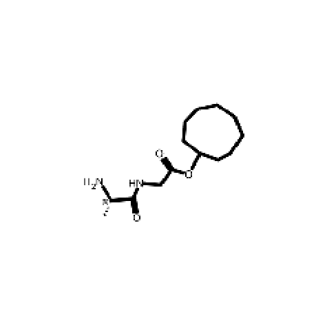 C[C@H](N)C(=O)NCC(=O)OC1CCCCCCCC1